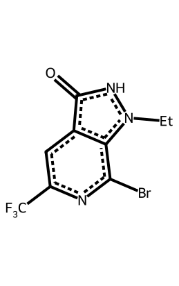 CCn1[nH]c(=O)c2cc(C(F)(F)F)nc(Br)c21